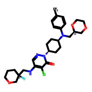 O=c1c(Cl)c(NC[C@@]2(F)CCCOC2)cnn1[C@H]1CC[C@H](N(C[C@@H]2COCCO2)c2ccc(C(F)(F)F)cc2)CC1